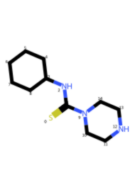 S=C(NC1CCCCC1)N1CCNCC1